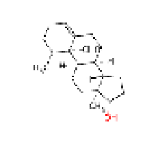 CC1CCC=C2CC[C@@H]3[C@@H](CC[C@]4(C)C(O)CC[C@@H]34)[C@]21C=O